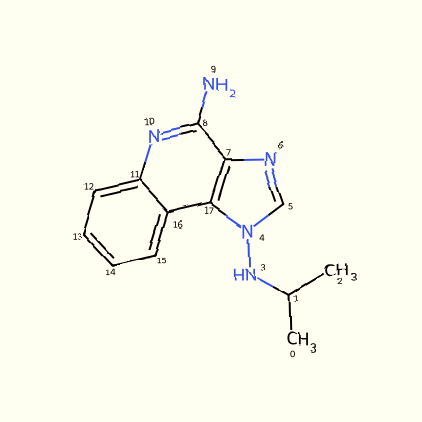 CC(C)Nn1cnc2c(N)nc3ccccc3c21